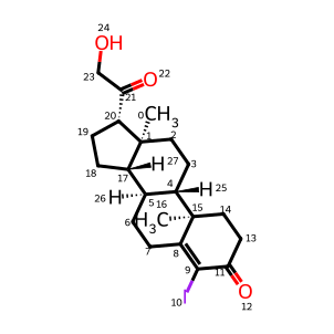 C[C@]12CC[C@H]3[C@@H](CCC4=C(I)C(=O)CC[C@@]43C)[C@@H]1CC[C@@H]2C(=O)CO